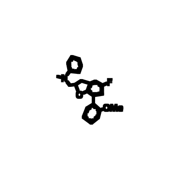 COc1ccccc1-c1cc(F)cc2c1OC(CN(C)c1ccccc1)C2